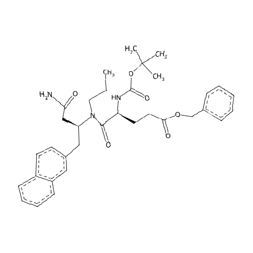 CCCN(C(=O)[C@H](CCC(=O)OCc1ccccc1)NC(=O)OC(C)(C)C)[C@H](CC(N)=O)Cc1ccc2ccccc2c1